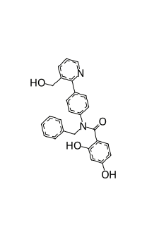 O=C(c1ccc(O)cc1O)N(Cc1ccccc1)c1ccc(-c2ncccc2CO)cc1